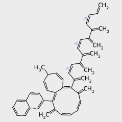 C=C/C=C\C(=C)C(=C)/C=C\C(=C)C(=C)/C=C\C(=C)c1c2c(c(-c3ccc4ccccc4c3)c(=C)ccccc1=C)C=CC(C)C=C2